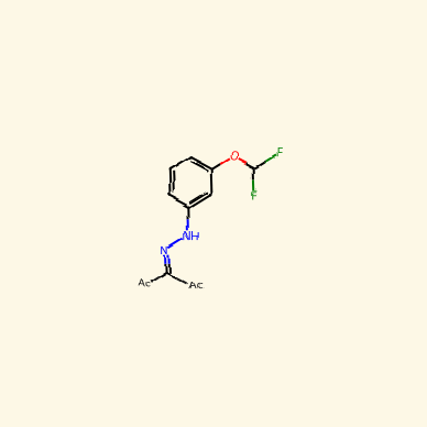 CC(=O)C(=NNc1cccc(OC(F)F)c1)C(C)=O